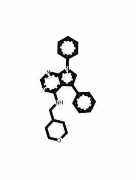 c1ccc(-c2cn(-c3ccccc3)c3ncnc(NCC4CCOCC4)c23)cc1